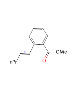 CCC/C=C/c1ccccc1C(=O)OC